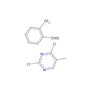 Cc1cnc(Cl)nc1Cl.O=Cc1ccccc1C(F)(F)F